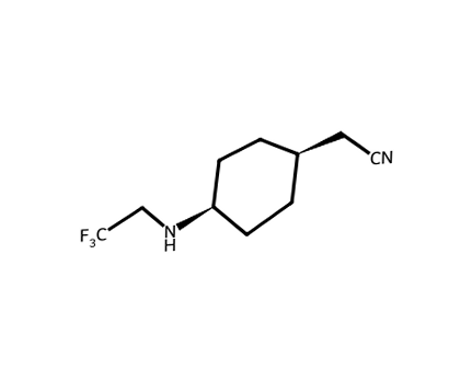 N#CC[C@H]1CC[C@@H](NCC(F)(F)F)CC1